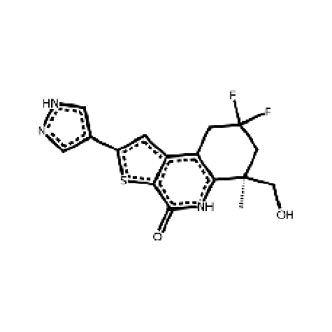 C[C@@]1(CO)CC(F)(F)Cc2c1[nH]c(=O)c1sc(-c3cn[nH]c3)cc21